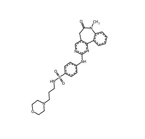 CN1C(=O)Cc2cnc(Nc3ccc(S(=O)(=O)NCCCN4CCOCC4)cc3)nc2-c2ccccc21